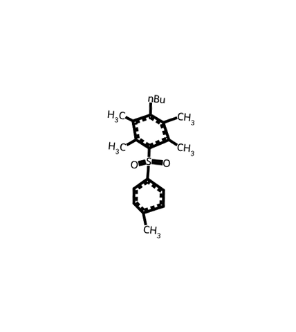 CCCCc1c(C)c(C)c(S(=O)(=O)c2ccc(C)cc2)c(C)c1C